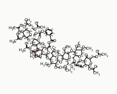 COCC1O[C@@H](O[C@H]2C(OC)C(OC)[C@@H](O[C@H]3C(OC)C(OC)[C@H](O[C@@H]4C(COC(C)=O)OC(OC(C)=O)C(N=[N+]=[N-])[C@H]4OC)O[C@H]3COC)O[C@H]2COC)C(OC)[C@@H](OC)[C@@H]1O[C@@H]1OC(COC(=O)c2ccccc2)[C@@H](O[C@@H]2O[C@@H](COC(C)=O)[C@@H](O[C@H]3O[C@@H](COC(C)=O)[C@@H](OC(C)=O)C(OC(C)=O)C3OC(C)=O)C(OC(C)=O)C2OC(C)=O)[C@H](OC)C1OC